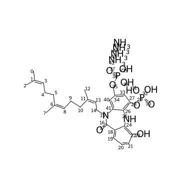 CC(C)=CCCC(C)=CCCC(C)=CCN1C(=O)c2cccc(O)c2Nc2c(OP(=O)(O)O)cc(OP(=O)(O)O)cc21.N.N.N.N